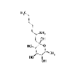 CCCCCC(N)C[C@]1(O)O[C@@H](C)[C@@H](O)[C@@H](O)[C@@H]1O